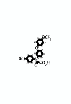 CC(C)(C)c1ccc(N(C(=O)C(=O)O)c2cccc(Oc3ccc(OC(F)(F)F)cc3)c2)cc1